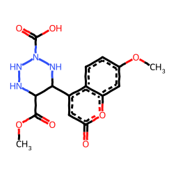 COC(=O)C1NNN(C(=O)O)NC1c1cc(=O)oc2cc(OC)ccc12